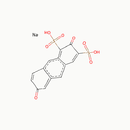 O=C1C=Cc2cc3c(cc2=C1)C=C(S(=O)(=O)O)C(=O)C=3S(=O)(=O)O.[Na]